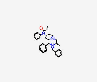 CCC(=O)N(c1ccccc1)C1CCN(CC(C)N(Cc2ccccc2)Cc2ccccc2)CC1